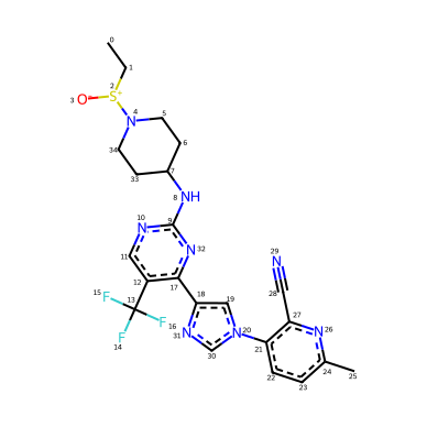 CC[S+]([O-])N1CCC(Nc2ncc(C(F)(F)F)c(-c3cn(-c4ccc(C)nc4C#N)cn3)n2)CC1